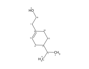 CC(C)C1CC=C(CCO)CC1